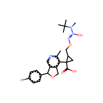 Cc1ncc2c(c1C1(C(=O)O)CC1CO/N=[N+](\O)N(C)C(C)(C)C)COC2c1ccc(Cl)cc1